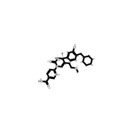 COCCC1=CN(c2ccc(C(=O)O)cn2)C(=O)N[C@@]1(C)c1ccc(CC2CCCCC2)c(Cl)c1